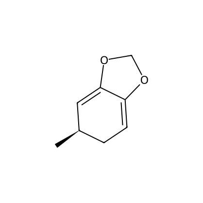 C[C@H]1C=C2OCOC2=CC1